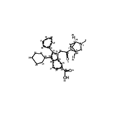 CN1C[C@H]2C[C@H]1CN2C(=O)Cn1c(-c2ccccc2)c(C2CCCCC2)c2ccc(C(=O)O)cc21